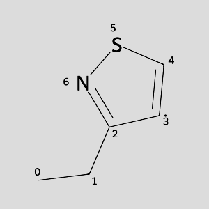 CCc1[c]csn1